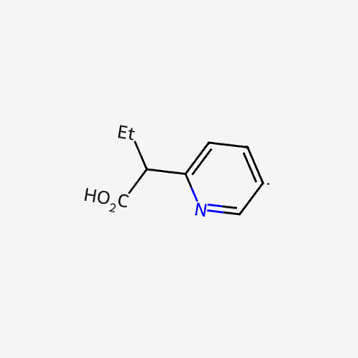 CCC(C(=O)O)c1cc[c]cn1